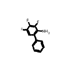 Nc1c(-c2ccccc2)cc(F)c(F)c1F